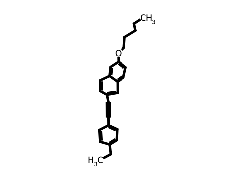 CCCCCOc1ccc2cc(C#Cc3ccc(CC)cc3)ccc2c1